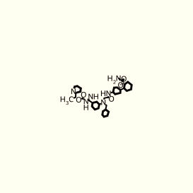 CC(OC(=O)NC(=N)c1cccc(N(CC(=O)Nc2ccc(-c3ccccc3S(N)(=O)=O)cc2)Cc2ccccc2)c1)c1ccccn1